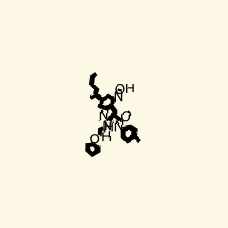 C/C=C\C=C(/C)C1C/C(=N\O)c2cc(C(=O)Nc3ccc(C)cc3)c(NCCOc3ccccc3)nc2C1